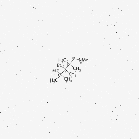 CCC(C)(C)C(C)(CC)C(C)(C)CNC